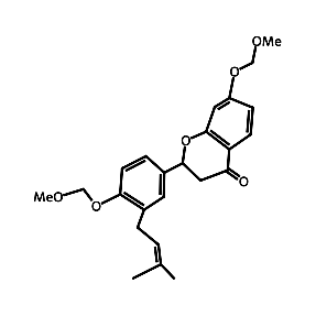 COCOc1ccc2c(c1)OC(c1ccc(OCOC)c(CC=C(C)C)c1)CC2=O